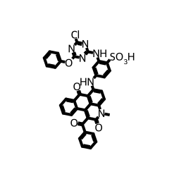 Cn1c(=O)c(C(=O)c2ccccc2)c2c3c(c(Nc4ccc(S(=O)(=O)O)c(Nc5nc(Cl)nc(Oc6ccccc6)n5)c4)ccc31)C(=O)c1ccccc1-2